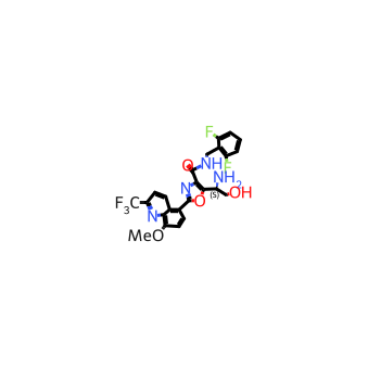 COc1ccc(-c2nc(C(=O)NCc3c(F)cccc3F)c([C@@H](N)CO)o2)c2ccc(C(F)(F)F)nc12